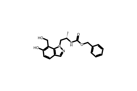 C[C@@H](Cn1ncc2ccc(O)c(CO)c21)NC(=O)OCc1ccccc1